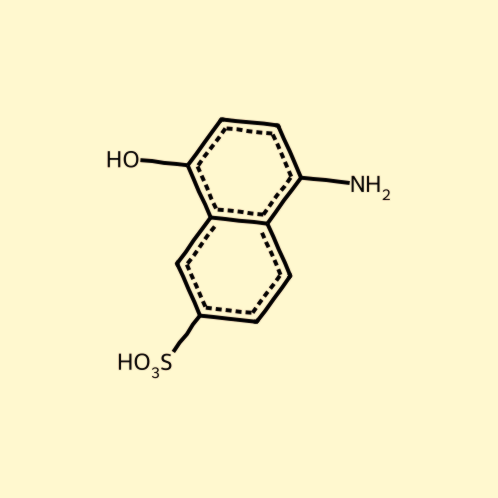 Nc1ccc(O)c2cc(S(=O)(=O)O)ccc12